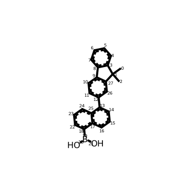 CC1(C)c2ccccc2-c2ccc(-c3cccc4c(B(O)O)cccc34)cc21